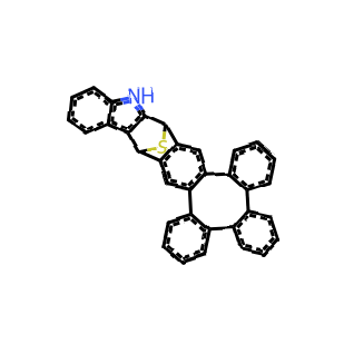 c1ccc2c(c1)-c1ccccc1-c1cc3c(cc1-c1ccccc1-2)C1SC3c2[nH]c3ccccc3c21